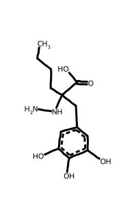 CCCCC(Cc1cc(O)c(O)c(O)c1)(NN)C(=O)O